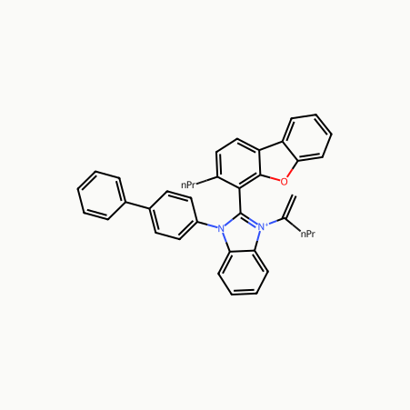 C=C(CCC)[n+]1c(-c2c(CCC)ccc3c2oc2ccccc23)n(-c2ccc(-c3ccccc3)cc2)c2ccccc21